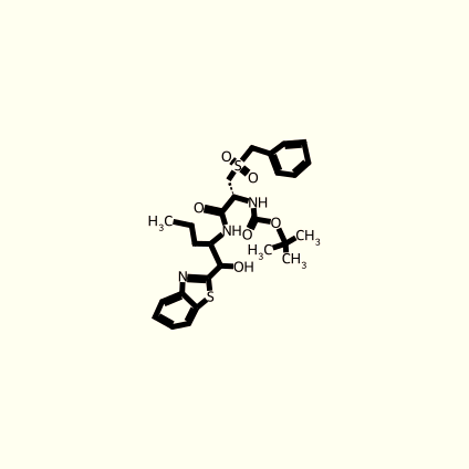 CCCC(NC(=O)[C@H](CS(=O)(=O)Cc1ccccc1)NC(=O)OC(C)(C)C)C(O)c1nc2ccccc2s1